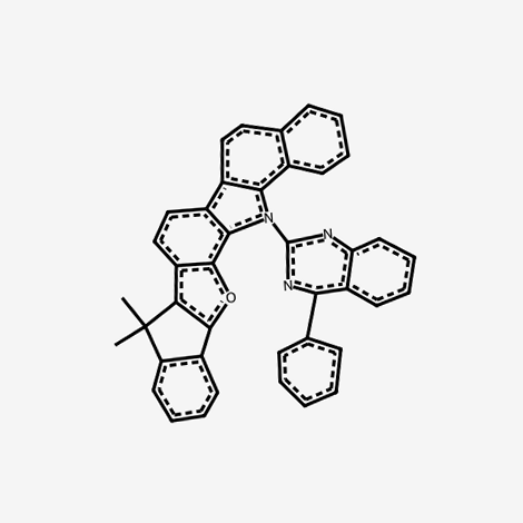 CC1(C)c2ccccc2-c2oc3c(ccc4c5ccc6ccccc6c5n(-c5nc(-c6ccccc6)c6ccccc6n5)c43)c21